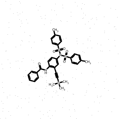 Cc1ccc(S(=O)(=O)N(c2ccc(NC(=O)c3ccccc3)c(C#C[Si](C)(C)C)c2)S(=O)(=O)c2ccc(C)cc2)cc1